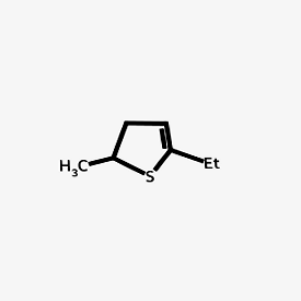 CCC1=CCC(C)S1